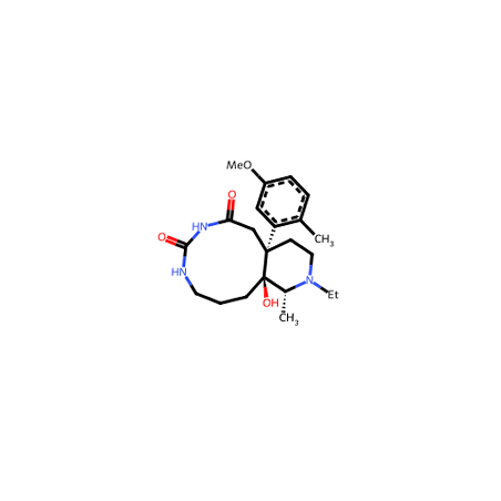 CCN1CC[C@]2(c3cc(OC)ccc3C)CC(=O)NC(=O)NCCC[C@@]2(O)[C@H]1C